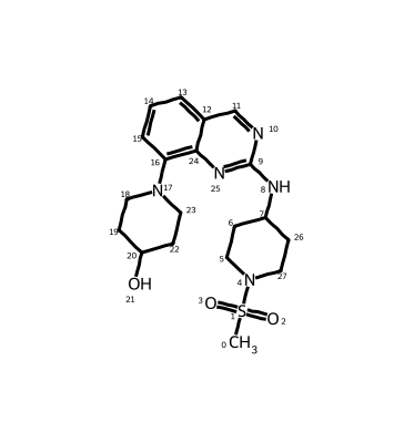 CS(=O)(=O)N1CCC(Nc2ncc3cccc(N4CCC(O)CC4)c3n2)CC1